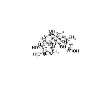 CC(=O)C1[C@@H](O)C[C@H]2C[C@@H](O)[C@H]3[C@@H]4CC[C@H]([C@H](C)CCC(=O)O)[C@@]4(C)[C@@H](O)C[C@@H]3[C@@]2(C)C1(C(C)=O)C(C)=O